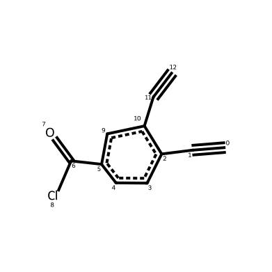 C#Cc1ccc(C(=O)Cl)cc1C#C